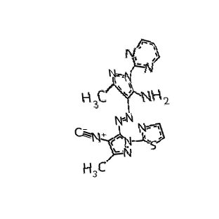 [C-]#[N+]c1c(C)nn(-c2nccs2)c1/N=N/c1c(C)nn(-c2ncccn2)c1N